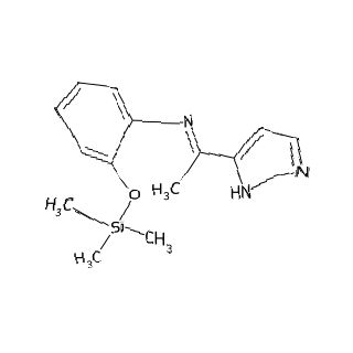 CC(=Nc1ccccc1O[Si](C)(C)C)c1ccn[nH]1